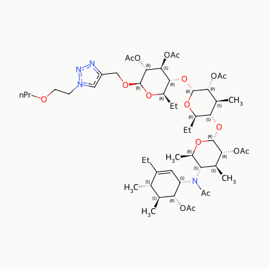 CCCOCCn1cc(CO[C@@H]2O[C@H](CC)[C@@H](O[C@H]3O[C@H](CC)[C@@H](O[C@H]4O[C@H](C)[C@@H](N(C(C)=O)[C@H]5C=C(CC)[C@@H](C)[C@H](C)[C@H]5OC(C)=O)[C@H](C)[C@H]4OC(C)=O)[C@H](C)[C@H]3OC(C)=O)[C@H](OC(C)=O)[C@H]2OC(C)=O)nn1